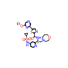 CCOc1cncc(-c2cnc(C(=O)N[C@@H](CN3CCCOCC3)c3cc(NS(=O)(=O)C4CC4)ccn3)s2)n1